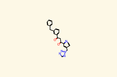 O=C(CC(=O)c1cc(Cn2ncnn2)ccn1)c1cccc(Cc2ccccc2)c1